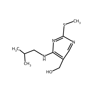 CSc1ncc(CO)c(NCC(C)C)n1